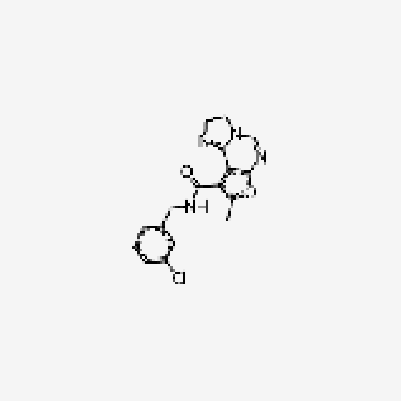 Cc1oc2c(c1C(=O)NCc1cccc(Cl)c1)C1=NCCN1C=N2